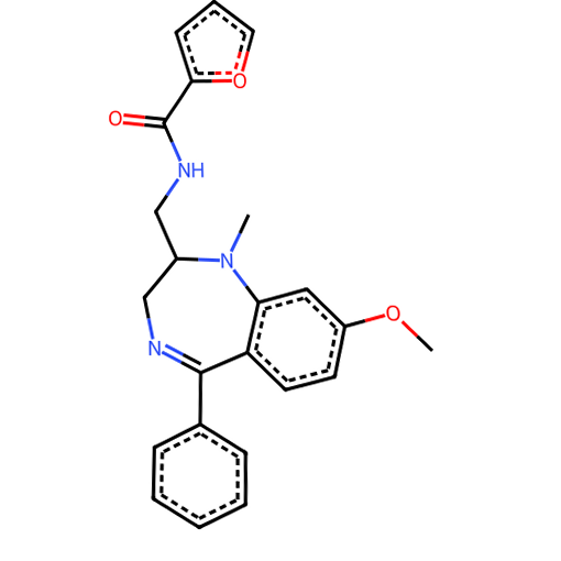 COc1ccc2c(c1)N(C)C(CNC(=O)c1ccco1)CN=C2c1ccccc1